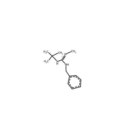 C/N=C(\NCc1ccccc1)NC(C)(C)C